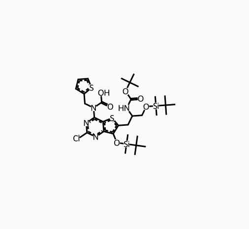 CC(C)(C)OC(=O)NC(CO[Si](C)(C)C(C)(C)C)Cc1sc2c(N(Cc3cccs3)C(=O)O)nc(Cl)nc2c1O[Si](C)(C)C(C)(C)C